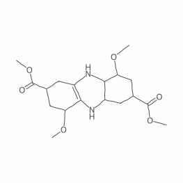 COC(=O)C1CC2=C(NC3CC(C(=O)OC)CC(OC)C3N2)C(OC)C1